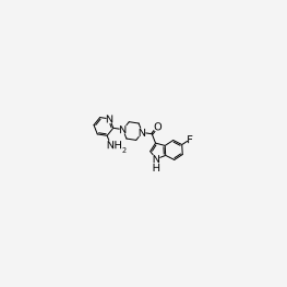 Nc1cccnc1N1CCN(C(=O)c2c[nH]c3ccc(F)cc23)CC1